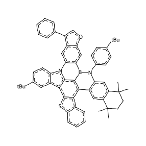 CC(C)(C)c1ccc(N2B3c4cc5occ(-c6ccccc6)c5cc4-n4c5ccc(C(C)(C)C)cc5c5c6sc7ccccc7c6c(c3c54)-c3cc4c(cc32)C(C)(C)CCC4(C)C)cc1